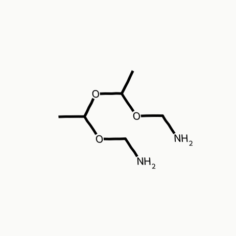 CC(OCN)OC(C)OCN